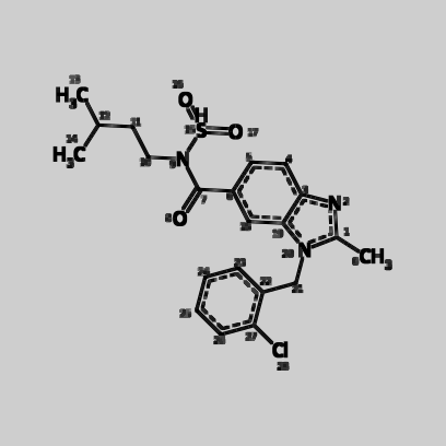 Cc1nc2ccc(C(=O)N(CCC(C)C)[SH](=O)=O)cc2n1Cc1ccccc1Cl